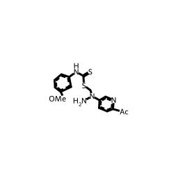 COc1cccc(NC(=S)SCN(N)c2ccc(C(C)=O)nc2)c1